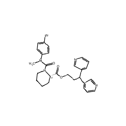 CC(C)c1ccc(N(C)C(=O)N2CCCC[C@H]2C(=O)OCCC(c2cccnc2)c2cccnc2)cc1